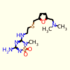 CN(C)Cc1ccc(CSCCNC2=NC(N)=NS(=O)(=O)N2C)o1